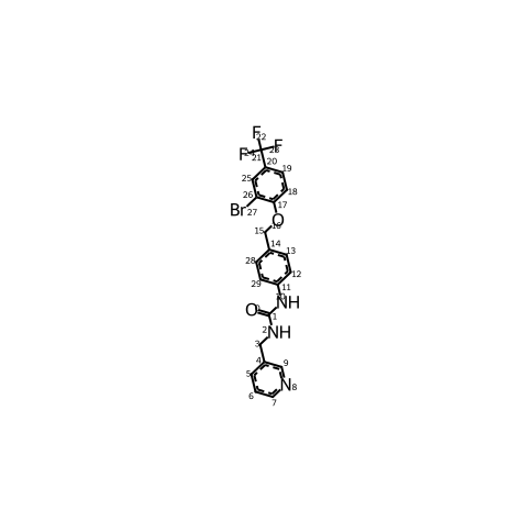 O=C(NCc1cccnc1)Nc1ccc(COc2ccc(C(F)(F)F)cc2Br)cc1